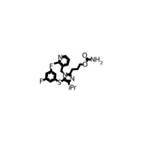 Cc1ncccc1Cn1c(CCCOC(N)=O)nc(C(C)C)c1Sc1cc(F)cc(F)c1